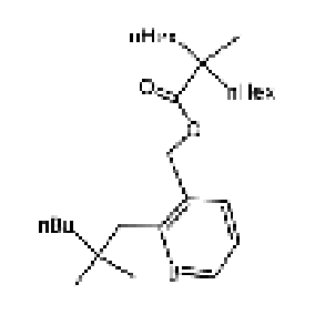 CCCCCCC(C)(CCCCCC)C(=O)OCc1cccbc1CC(C)(C)CCCC